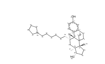 C=CC12CCc3cc(O)ccc3[C@H]1[C@@H](CCCCCCN1CCCC1)C[C@]1(C)[C@@H](O)CC[C@@H]21